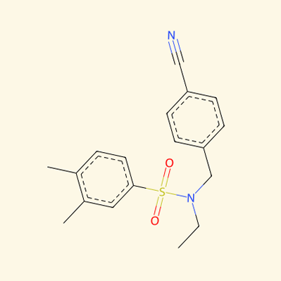 CCN(Cc1ccc(C#N)cc1)S(=O)(=O)c1ccc(C)c(C)c1